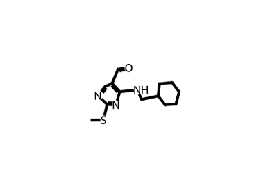 CSc1ncc(C=O)c(NCC2CCCCC2)n1